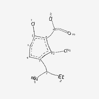 CCCCC(CC)c1ccc(Cl)c(C(=O)Cl)c1Cl